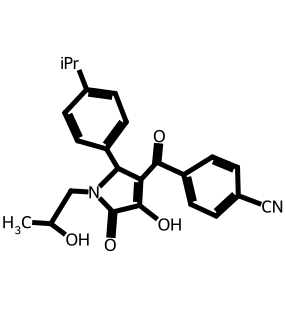 CC(O)CN1C(=O)C(O)=C(C(=O)c2ccc(C#N)cc2)C1c1ccc(C(C)C)cc1